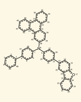 c1ccc(-c2ccc(N(c3ccc(-c4ccc5oc6ccccc6c5c4)cc3)c3ccc4c5ccccc5c5ccccc5c4c3)cc2)cc1